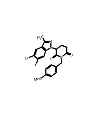 COc1ccc(CN2C(=O)CCC(n3nc(C)c4cc(Br)c(F)cc43)C2=O)cc1